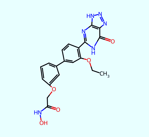 CCOc1cc(-c2cccc(OCC(=O)NO)c2)ccc1-c1nc2[nH]nnc2c(=O)[nH]1